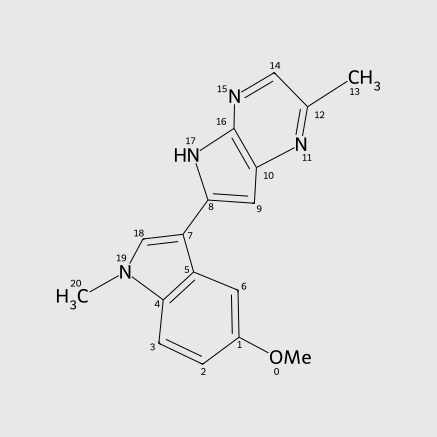 COc1ccc2c(c1)c(-c1cc3nc(C)cnc3[nH]1)cn2C